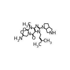 CC(C)=CCn1c(N2CCC3CNCC32)nc2c1c(=O)n(CC(N)=O)c(=O)n2C